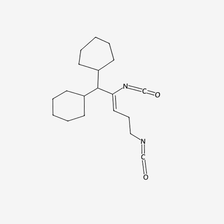 O=C=NCCC=C(N=C=O)C(C1CCCCC1)C1CCCCC1